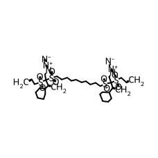 C=CCS(=O)(=O)C(CN=[N+]=[N-])(C(=C)C1CCCCC1)S(=O)(=O)CCCCCCCCCCS(=O)(=O)C(CN=[N+]=[N-])(C(=C)C1CCCCC1)S(=O)(=O)CC=C